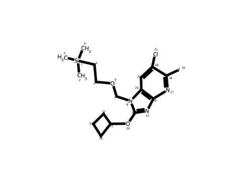 C[Si](C)(C)CCOCn1c(OC2CCC2)nc2nc(I)c(Cl)cc21